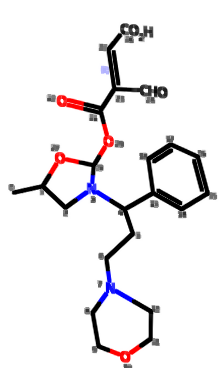 CC1CN(C(CCN2CCOCC2)c2ccccc2)C(OC(=O)/C(C=O)=C/C(=O)O)O1